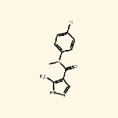 CN(C(=O)c1cn[nH]c1C(F)(F)F)c1ccc(Cl)cc1